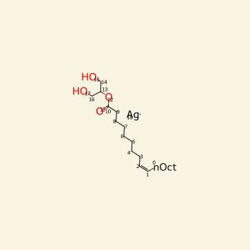 CCCCCCCC/C=C\CCCCCCCC(=O)OC(CO)CO.[Ag]